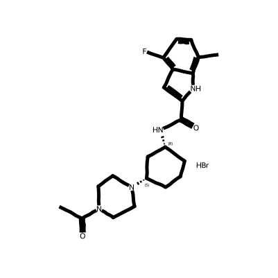 Br.CC(=O)N1CCN([C@H]2CCC[C@@H](NC(=O)c3cc4c(F)ccc(C)c4[nH]3)C2)CC1